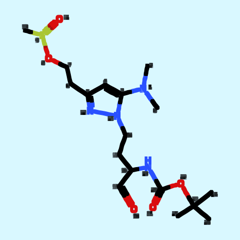 CN(C)c1cc(CCOS(C)=O)nn1CCC(C=O)NC(=O)OC(C)(C)C